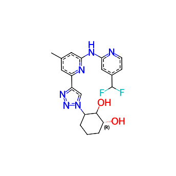 Cc1cc(Nc2cc(C(F)F)ccn2)nc(-c2cn(C3CCC[C@@H](O)C3O)nn2)c1